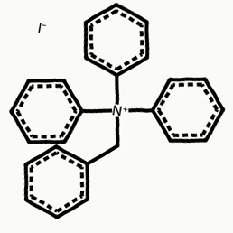 [I-].c1ccc(C[N+](c2ccccc2)(c2ccccc2)c2ccccc2)cc1